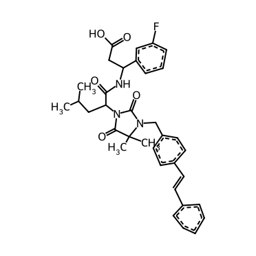 CC(C)CC(C(=O)NC(CC(=O)O)c1cccc(F)c1)N1C(=O)N(Cc2ccc(C=Cc3ccccc3)cc2)C(C)(C)C1=O